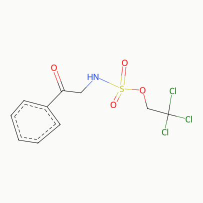 O=C(CNS(=O)(=O)OCC(Cl)(Cl)Cl)c1ccccc1